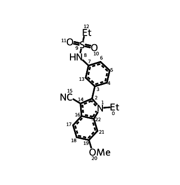 CCn1c(-c2cccc(NS(=O)(=O)CC)c2)c(C#N)c2ccc(OC)cc21